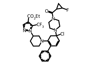 CCOC(=O)c1cnn(C2CCCN(C3=C(c4ccccc4)C=CC(Cl)(N4CCN(C(=O)C5CC5F)CC4)C3)C2)c1C(F)(F)F